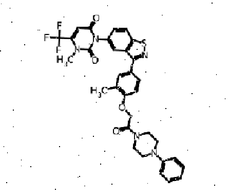 Cc1cc(-c2nsc3ccc(-n4c(=O)cc(C(F)(F)F)n(C)c4=O)cc23)ccc1OCC(=O)N1CCN(c2ccccc2)CC1